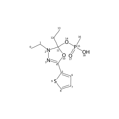 CCN1N=C(c2cccs2)OC1(CC)OP(C)(=O)O